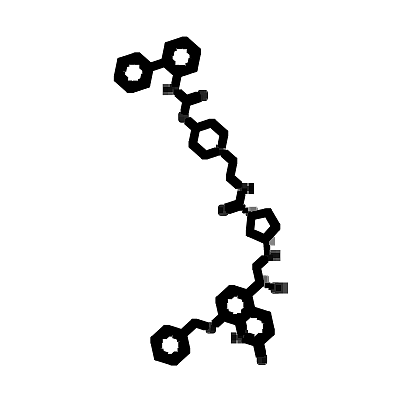 O=C(Nc1ccccc1-c1ccccc1)OC1CCN(CCNC(=O)[C@@H]2CC[C@H](NC[C@H](O)c3ccc(OCc4ccccc4)c4[nH]c(=O)ccc34)C2)CC1